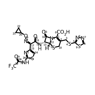 O=C(O)C1=C(CSc2nncs2)CS[C@@H]2[C@H](NC(=O)/C(=N\OC3CC3)c3csc(NC(=O)C(F)(F)F)n3)C(=O)N12